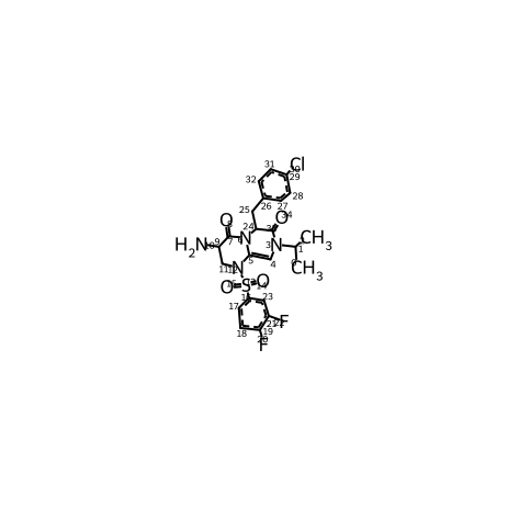 CC(C)N1C=C2N(C(=O)C(N)CN2S(=O)(=O)c2ccc(F)c(F)c2)C(Cc2ccc(Cl)cc2)C1=O